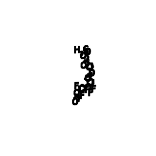 COC(=O)C[C@@H]1COc2cc(O[C@@H]3CCc4c3ccc(C(F)(F)F)c4-c3cc(F)c(O[C@@H]4CCOC4)c(F)c3)ccc21